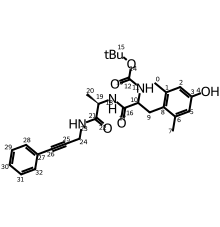 Cc1cc(O)cc(C)c1CC(NC(=O)OC(C)(C)C)C(=O)N[C@H](C)C(=O)NCC#Cc1ccccc1